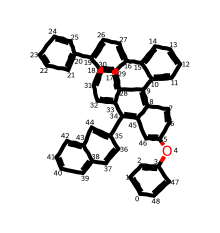 c1ccc(Oc2ccc3c(-c4ccccc4-c4ccc(-c5ccccc5)cc4)c4ccccc4c(-c4ccc5ccccc5c4)c3c2)cc1